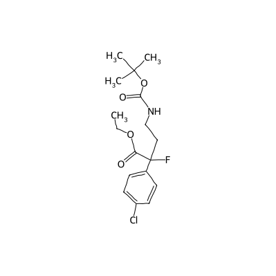 CCOC(=O)C(F)(CCNC(=O)OC(C)(C)C)c1ccc(Cl)cc1